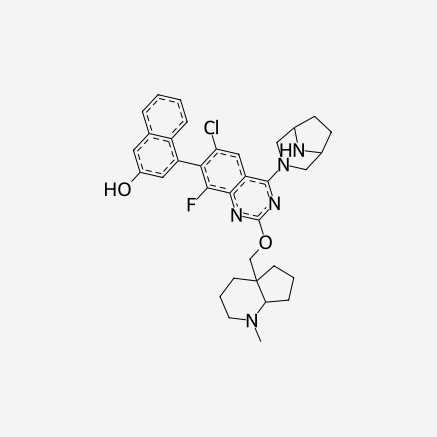 CN1CCCC2(COc3nc(N4CC5CCC(C4)N5)c4cc(Cl)c(-c5cc(O)cc6ccccc56)c(F)c4n3)CCCC12